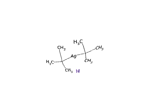 C[C](C)(C)[Ag][C](C)(C)C.I